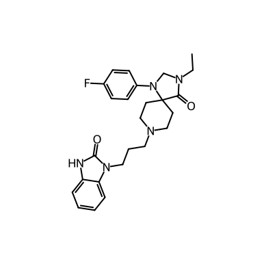 CCN1CN(c2ccc(F)cc2)C2(CCN(CCCn3c(=O)[nH]c4ccccc43)CC2)C1=O